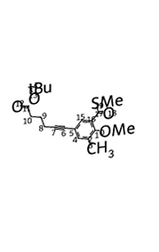 COc1c(C)cc(C#CCCCC(=O)OC(C)(C)C)cc1C(=O)SC